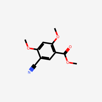 COC(=O)c1cc(C#N)c(OC)cc1OC